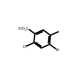 CCOC(=O)c1cc(C)c(Br)cc1Cl